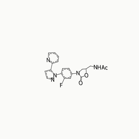 CC(=O)NCC1CN(c2ccc(-n3nccc3-c3ccccn3)c(F)c2)C(=O)O1